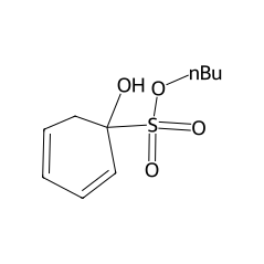 CCCCOS(=O)(=O)C1(O)C=CC=CC1